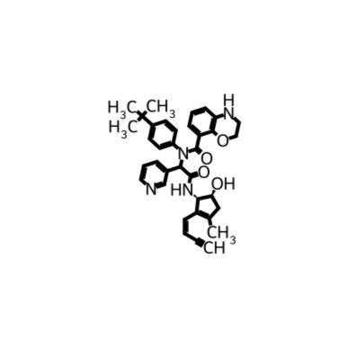 C#C/C=C\C1=C(C)C[C@H](O)[C@H]1NC(=O)C(c1cccnc1)N(C(=O)c1cccc2c1OCCN2)c1ccc(C(C)(C)C)cc1